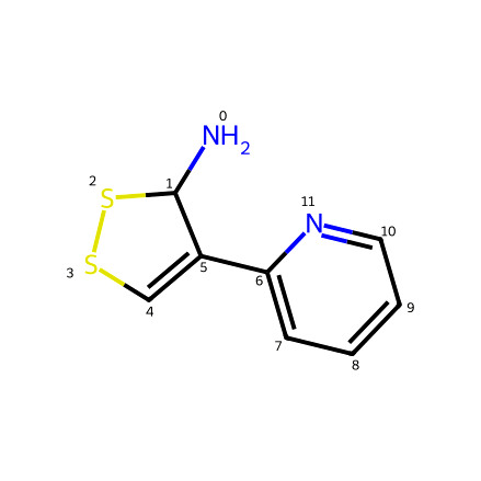 NC1SSC=C1c1ccccn1